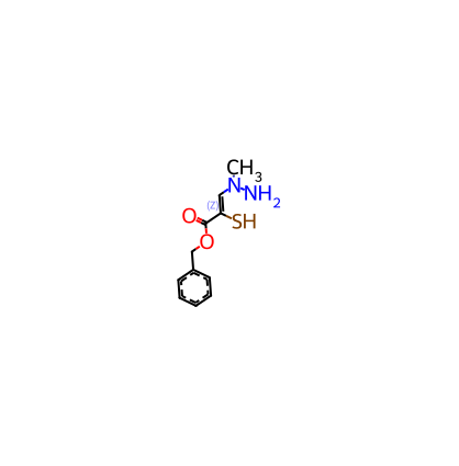 CN(N)/C=C(\S)C(=O)OCc1ccccc1